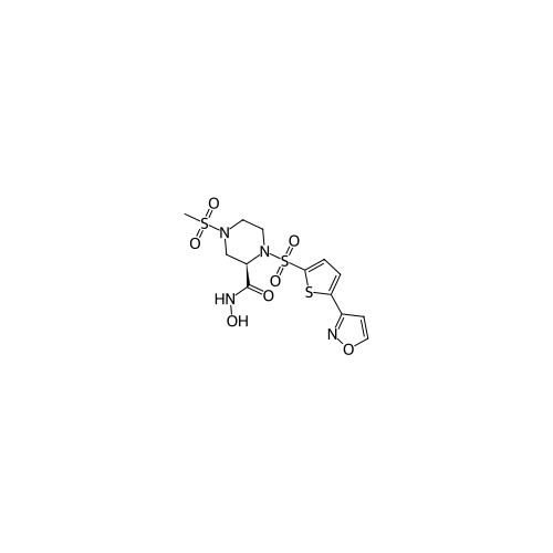 CS(=O)(=O)N1CCN(S(=O)(=O)c2ccc(-c3ccon3)s2)[C@@H](C(=O)NO)C1